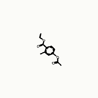 CCOC(=O)c1ccc(OC(C)=O)cc1C